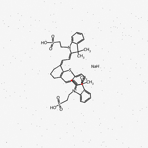 CC1(C)C(/C=C/C2=C(Sc3ccccc3)C(=C\C=C3/N(CCS(=O)(=O)O)c4ccccc4C3(C)C)/CCC2)=[N+](CCS(=O)(=O)O)c2ccccc21.[NaH]